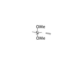 C=C.CO[Si](C)(C)OC